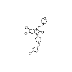 O=c1n(CCN2CCOCC2)c2cc(Cl)c(Cl)cc2n1C1CCN(Cc2ccc(Cl)cc2)CC1